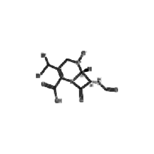 O=CN[C@@H]1C(=O)N2C(C(=O)O)=C(C(Br)Br)C[S+]([O-])[C@H]12